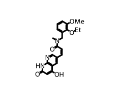 CCOc1c(CN(C)C(=O)/C=C\c2cnc3[nH]c(=O)cc(O)c3c2)cccc1OC